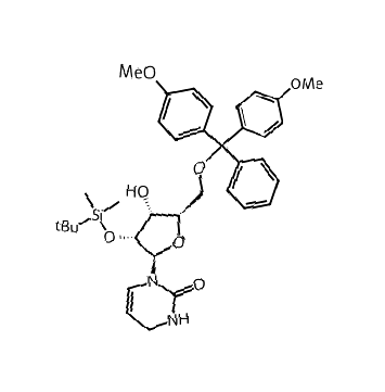 COc1ccc(C(OC[C@H]2O[C@@H](N3C=CCNC3=O)[C@H](O[Si](C)(C)C(C)(C)C)[C@@H]2O)(c2ccccc2)c2ccc(OC)cc2)cc1